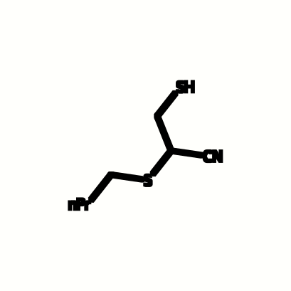 CCCCSC(C#N)CS